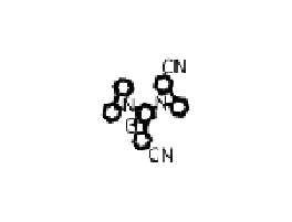 N#Cc1ccc2oc3c(-n4c5ccccc5c5ccccc54)cc(-n4c5ccccc5c5cc(C#N)ccc54)cc3c2c1